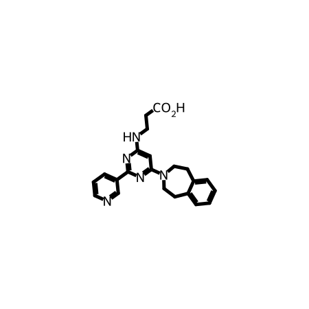 O=C(O)CCNc1cc(N2CCc3ccccc3CC2)nc(-c2cccnc2)n1